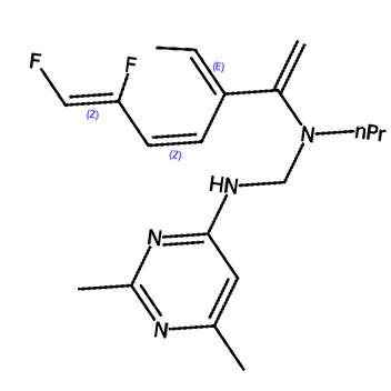 C=C(C(/C=C\C(F)=C\F)=C/C)N(CCC)CNc1cc(C)nc(C)n1